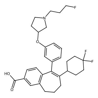 O=C(O)c1ccc2c(c1)CCCC(C1CCC(F)(F)CC1)=C2c1cccc(OC2CCN(CCCF)C2)c1